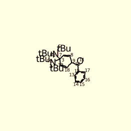 CC(C)(C)N(C(C)(C)C)C1(N(C(C)(C)C)C(C)(C)C)C=CC(C(=O)c2ccccc2)C=C1